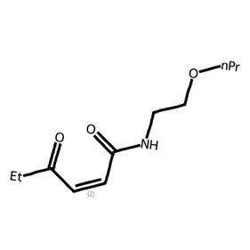 CCCOCCNC(=O)/C=C\C(=O)CC